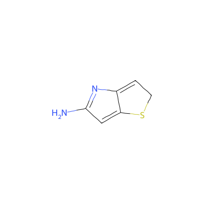 NC1=NC2=CCSC2=C1